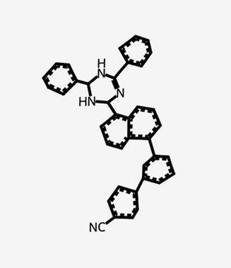 N#Cc1ccc(-c2cccc(-c3cccc4c(C5N=C(c6ccccc6)NC(c6ccccc6)N5)cccc34)c2)cc1